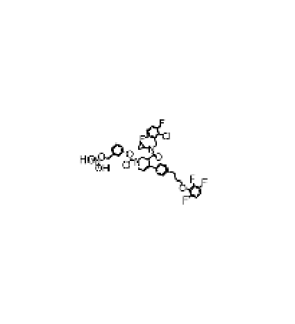 O=C(Oc1cccc(CON(O)O)c1)N1CC=C(c2ccc(CCCOc3c(F)ccc(F)c3F)cc2)C(C(=O)N(Cc2c(F)ccc(F)c2Cl)C2CC2)C1